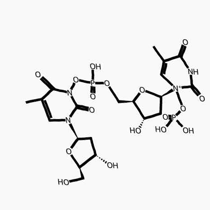 CC1=C[N+](OP(=O)(O)O)([C@H]2C[C@H](O)[C@@H](COP(=O)(O)On3c(=O)c(C)cn([C@H]4C[C@H](O)[C@@H](CO)O4)c3=O)O2)C(=O)NC1=O